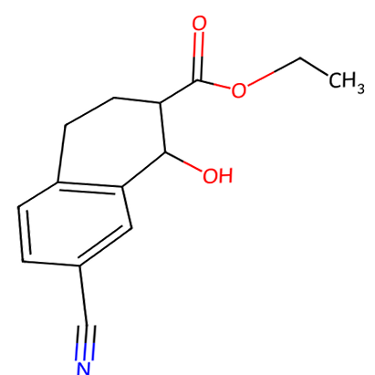 CCOC(=O)C1CCc2ccc(C#N)cc2C1O